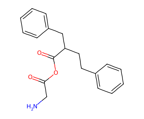 NCC(=O)OC(=O)C(CCc1ccccc1)Cc1ccccc1